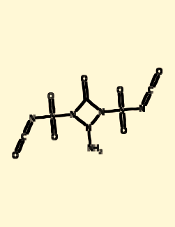 Nn1n(S(=O)(=O)N=C=O)c(=O)n1S(=O)(=O)N=C=O